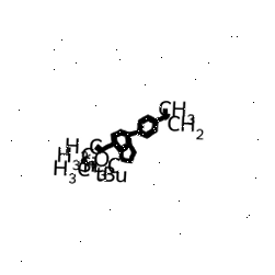 C=C(C)c1ccc(-c2ccc(C(=C)O[Si](C)(C)C(C)(C)C)c3c2CCC3C)cc1